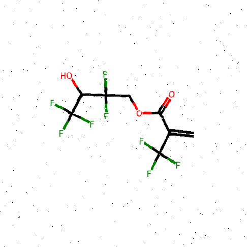 C=C(C(=O)OCC(F)(F)C(O)C(F)(F)F)C(F)(F)F